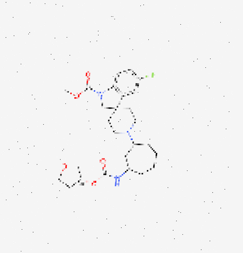 COC(=O)N1CC2(CCN(C3CCCCC(NC(=O)O[C@@H]4CCOC4)C3)CC2)c2cc(F)ccc21